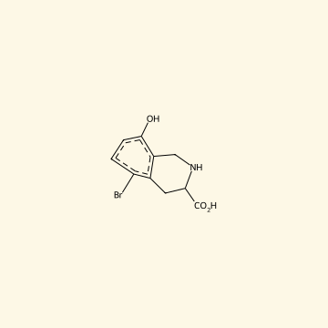 O=C(O)C1Cc2c(Br)ccc(O)c2CN1